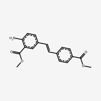 COC(=O)c1ccc(/C=C/c2ccc(N)c(C(=O)OC)c2)cc1